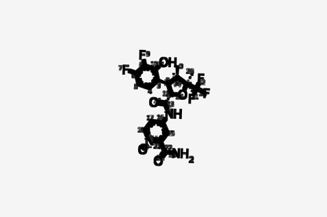 C[C@@H]1[C@H](c2ccc(F)c(F)c2O)[C@@H](C(=O)Nc2cc[n+]([O-])c(C(N)=O)c2)O[C@]1(C)C(F)(F)F